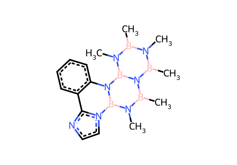 CB1N(C)B(C)N2B(C)N(C)B3N(B2N1C)c1ccccc1-c1nccn13